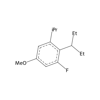 CCC(CC)c1c(F)cc(OC)cc1C(C)C